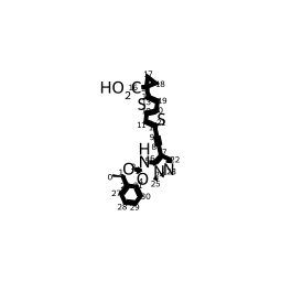 C[C@@H](OC(=O)Nc1c(C#Cc2cc3sc(C4(C(=O)O)CC4)cc3s2)cnn1C)c1ccccc1